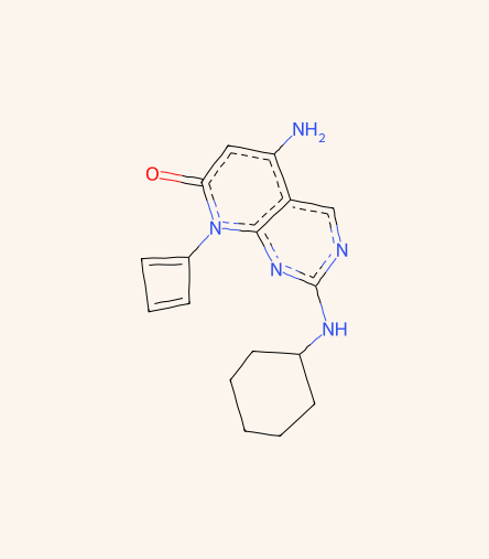 Nc1cc(=O)n(C2=CC=C2)c2nc(NC3CCCCC3)ncc12